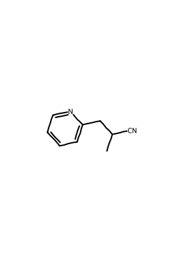 CC(C#N)Cc1ccccn1